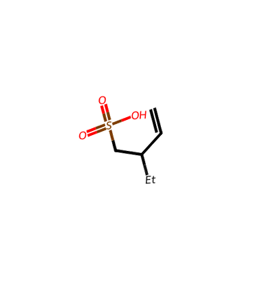 C=CC(CC)CS(=O)(=O)O